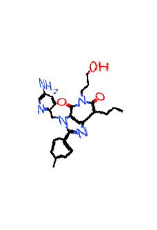 CCCC1C(=O)N(CCCO)C(=O)c2c1nc(-c1ccc(C)cc1)n2Cc1ccc(N)cn1